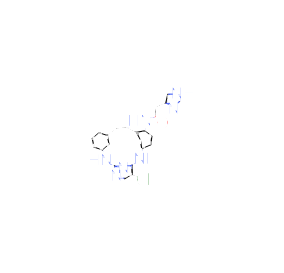 O=C(Cc1c[nH]cn1)Nc1ccc2cc1CCc1cccc(c1)Nc1ncc(Cl)c(n1)N2